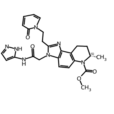 COC(=O)N1c2ccc3c(nc(CCn4ccccc4=O)n3CC(=O)Nc3ccn[nH]3)c2CC[C@@H]1C